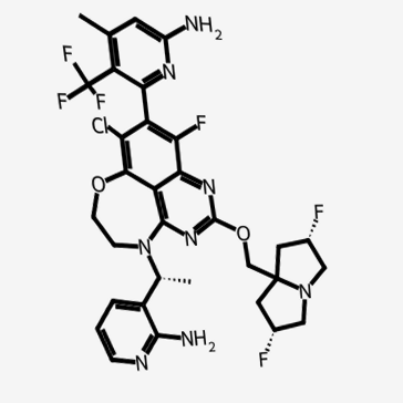 Cc1cc(N)nc(-c2c(Cl)c3c4c(nc(OCC56C[C@H](F)CN5C[C@H](F)C6)nc4c2F)N([C@H](C)c2cccnc2N)CCO3)c1C(F)(F)F